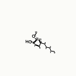 CCCCCc1ccc(O)c(OC)c1